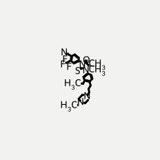 CCc1cc(N2C(=S)N(c3ccc(C#N)c(C(F)(F)F)c3)C(=O)C2(C)C)ccc1CCCN1CCN(CC)CC1